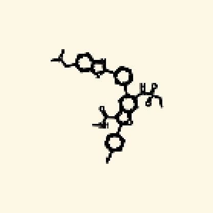 CCS(=O)(=O)Nc1cc2oc(-c3ccc(F)cc3)c(C(=O)NC)c2cc1-c1cccc(-c2nc3ccc(CN(C)C)cc3s2)c1